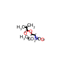 C=C(C)C(=O)OCCN=C=O.CC(=O)O